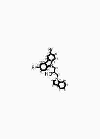 OC(Cn1ccc2ccccc21)Cn1c2ccc(Br)cc2c2cc(Br)ccc21